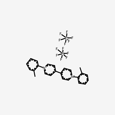 Cc1ccccc1-[n+]1ccc(-c2cc[n+](-c3ccccc3C)cc2)cc1.F[P-](F)(F)(F)(F)F.F[P-](F)(F)(F)(F)F